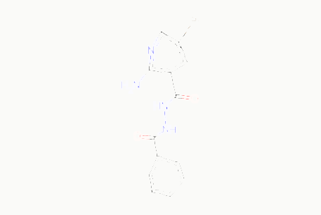 Nc1ncc(Br)cc1C(=O)NNC(=O)c1ccccc1